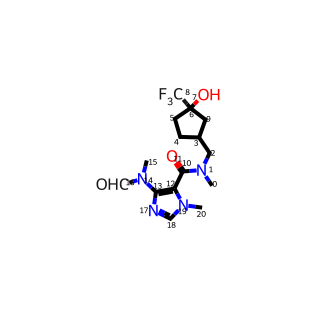 CN(CC1CCC(O)(C(F)(F)F)C1)C(=O)c1c(N(C)C=O)ncn1C